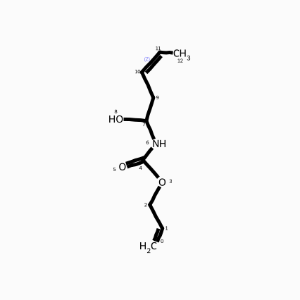 C=CCOC(=O)NC(O)C/C=C\C